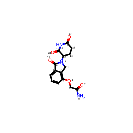 NC(=O)COc1cccc2c1CN(C1CCC(=O)NC1=O)C2=O